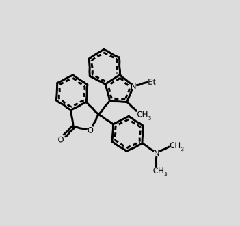 CCn1c(C)c(C2(c3ccc(N(C)C)cc3)OC(=O)c3ccccc32)c2ccccc21